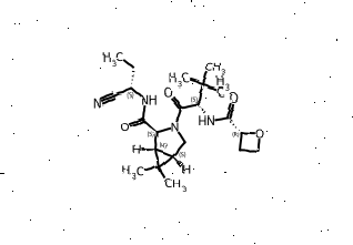 CC[C@@H](C#N)NC(=O)[C@@H]1[C@@H]2[C@H](CN1C(=O)[C@@H](NC(=O)[C@H]1CCO1)C(C)(C)C)C2(C)C